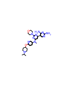 CC(C)N1CCC(Oc2ccc(N(C)c3cc(-c4cnc(N)nc4N)nc(N4CCOCC4)n3)cn2)CC1